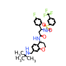 CC(C)(C)NCc1ccc2c(c1)OCC[C@H]2NC(=O)CC(NS(=O)(=O)c1cccc(C(F)(F)F)c1)c1ccc(F)cc1